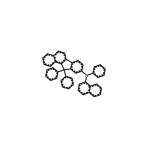 c1ccc(N(c2ccc3c(c2)C(c2ccccc2)(c2ccccc2)c2c-3ccc3ccccc23)c2cccc3ccccc23)cc1